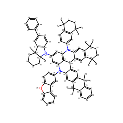 CC1(C)CCC(C)(C)c2cc(N3c4cc5c(cc4B4c6cc7c(cc6N(c6ccc8oc9ccccc9c8c6)c6cc(N8c9ccc(-c%10ccccc%10)cc9C9(C)CCCCC89C)cc3c64)C(C)(C)c3ccccc3C7(C)C)C(C)(C)CCC5(C)C)ccc21